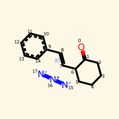 O=C1CCCCC1/C=C/c1ccccc1.[N-]=[N+]=[N-]